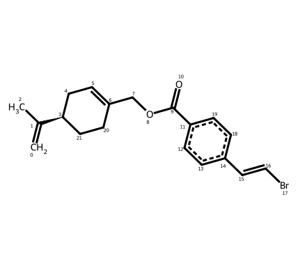 C=C(C)[C@H]1CC=C(COC(=O)c2ccc(/C=C/Br)cc2)CC1